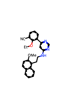 CCOc1c(C#N)cccc1-c1cc(NCCc2c(OC)ccc3ccccc23)ncn1